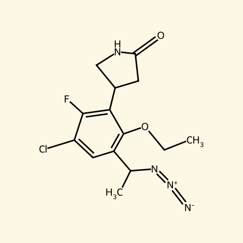 CCOc1c(C(C)N=[N+]=[N-])cc(Cl)c(F)c1C1CNC(=O)C1